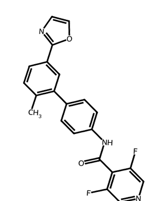 Cc1ccc(-c2ncco2)cc1-c1ccc(NC(=O)c2c(F)cncc2F)cc1